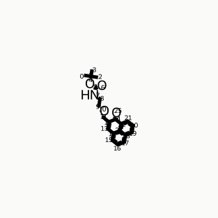 CC(C)(C)OC(=O)NCCOCC1=Cc2cccc3cccc(c23)C1=O